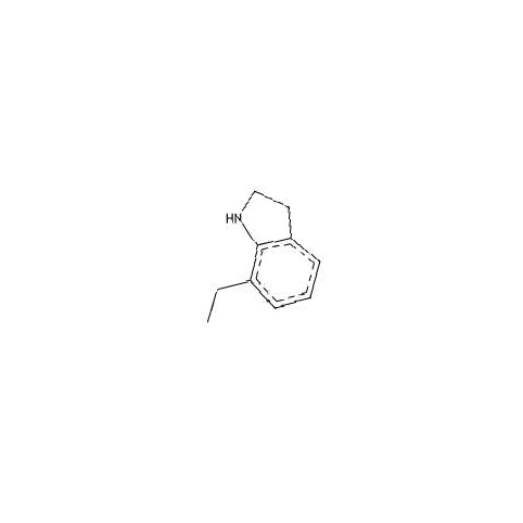 CCc1cccc2c1NCC2